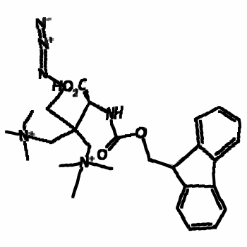 C[N+](C)(C)CC(CCN=[N+]=[N-])(C[N+](C)(C)C)[C@H](NC(=O)OCC1c2ccccc2-c2ccccc21)C(=O)O